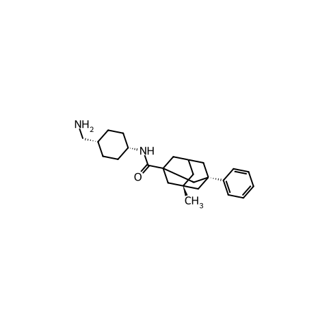 C[C@]12CC3CC(C(=O)N[C@H]4CC[C@@H](CN)CC4)(C1)C[C@@](c1ccccc1)(C3)C2